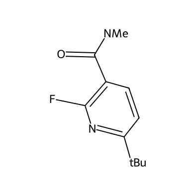 CNC(=O)c1ccc(C(C)(C)C)nc1F